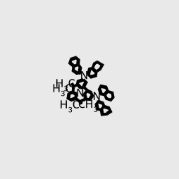 CC1(C)c2cccc3c2-n2c4c1cc(N(c1ccc5c(c1)CCCC5)c1ccc5ccccc5c1)cc4c1cc(N(c4ccc5ccccc5c4)c4cccc5c4CCCC5)cc(c12)C3(C)C